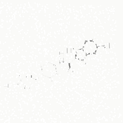 CS(=O)(=O)OC[C@H]1CC[C@H](NC(=O)c2cc3cc(Cl)ccc3[nH]2)CC1